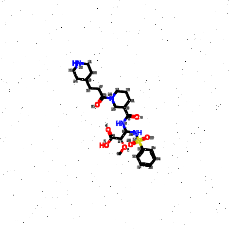 CO[C@H](C(=O)O)C(NC(=O)C1CCCN(C(=O)CCC2CCNCC2)C1)NS(=O)(=O)c1ccccc1